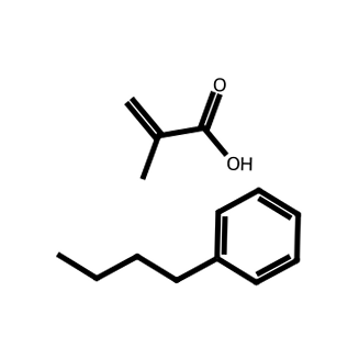 C=C(C)C(=O)O.CCCCc1ccccc1